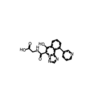 O=C(O)CNC(=O)c1c(O)c2cccc(-c3cccnc3)c2c2ncnn12